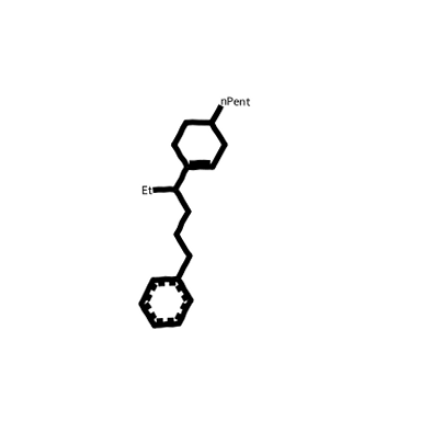 CCCCCC1CC=C(C(CC)CCCc2ccccc2)CC1